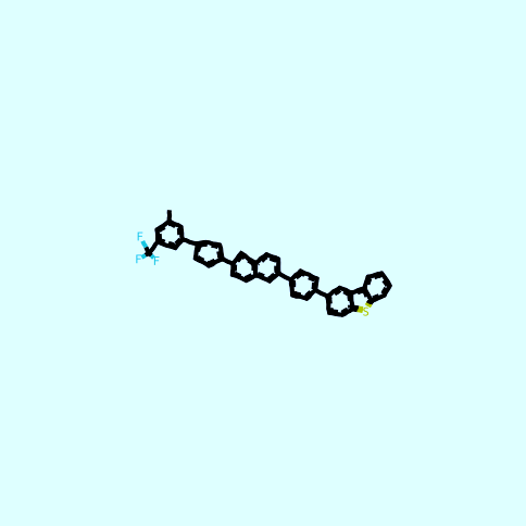 Cc1cc(-c2ccc(-c3ccc4cc(-c5ccc(-c6ccc7sc8ccccc8c7c6)cc5)ccc4c3)cc2)cc(C(F)(F)F)c1